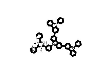 C1=CNC(C2NC(c3cccc(-n4c5ccc(-c6ccc7c(c6)c6ccccc6n7-c6ccccc6)cc5c5cc(-c6ccc7c(c6)c6ccccc6n7-c6ccccc6)ccc54)c3)NC(c3ccccn3)N2)C=C1